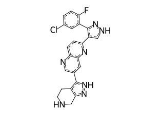 Fc1ccc(Cl)cc1-c1n[nH]cc1-c1ccc2ncc(-c3[nH]nc4c3CCNC4)cc2n1